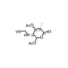 CC[C@H]1OC(OC(C)=O)[C@H](NCS)[C@@H](OC(C)=O)[C@@H]1C